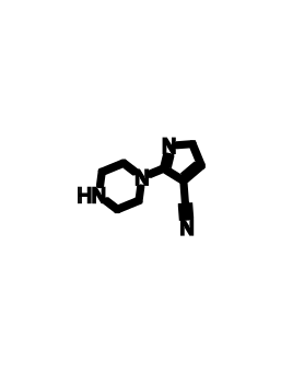 N#CC1=CCN=C1N1CCNCC1